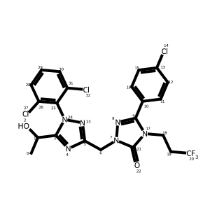 CC(O)c1nc(Cn2nc(-c3ccc(Cl)cc3)n(CCC(F)(F)F)c2=O)nn1-c1c(Cl)cccc1Cl